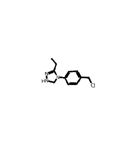 CCC1=NNCN1c1ccc(CCl)cc1